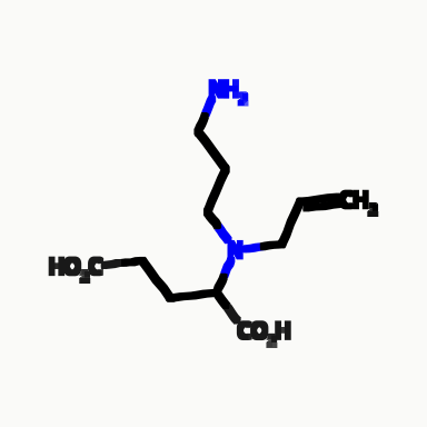 C=CCN(CCCN)C(CCC(=O)O)C(=O)O